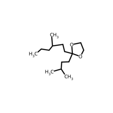 CCCC(C)CCC1(CCC(C)C)OCCO1